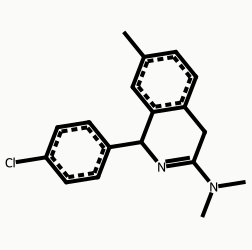 Cc1ccc2c(c1)C(c1ccc(Cl)cc1)N=C(N(C)C)C2